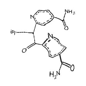 CC(C)C(C(=O)c1cc(C(N)=O)ccn1)c1cc(C(N)=O)ccn1